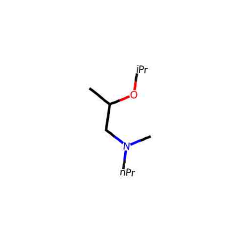 CCCN(C)CC(C)OC(C)C